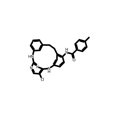 Cc1ccc(C(=O)Nc2ccc3cc2CCc2cccc(c2)Nc2ncc(Cl)c(n2)N3)cc1